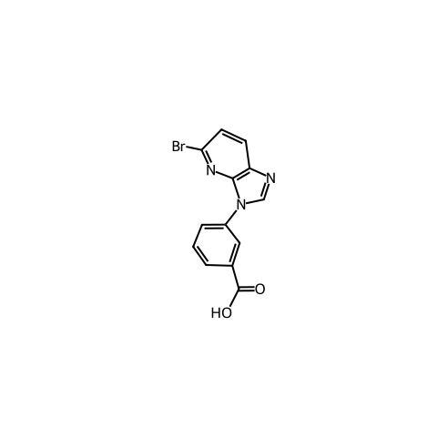 O=C(O)c1cccc(-n2cnc3ccc(Br)nc32)c1